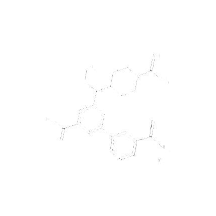 COC(c1cc(C(=O)O)cc(-c2cccc(C(=N)N)c2)c1)C1CCN(C(C)=N)CC1.Cl